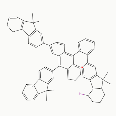 CC1(C)C2=C(CCC=C2)c2ccc(-c3ccc4c(-c5ccccc5-c5ccc6c(c5)C(C)(C)C5CCCC(I)C65)c5c(c(-c6ccc7c(c6)C(C)(C)c6ccccc6-7)c4c3)=CCCC=5)cc21